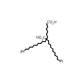 CC(C)CCCCCCCCCCC(CCCCCCCCCCC(C)C)(CCCCCCC(=O)O)C(=O)O